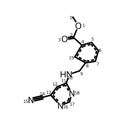 COC(=O)c1cccc(CNc2cc(C#N)ncn2)c1